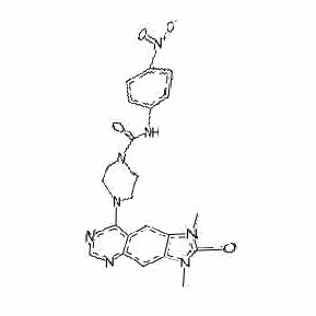 Cn1c(=O)n(C)c2cc3c(N4CCN(C(=O)Nc5ccc([N+](=O)[O-])cc5)CC4)ncnc3cc21